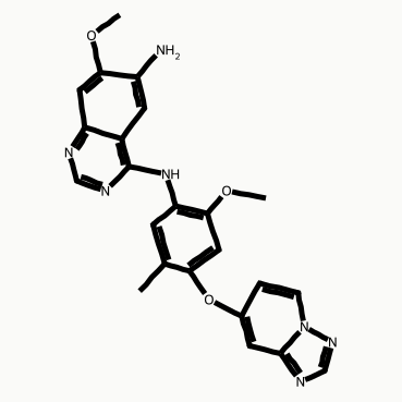 COc1cc2ncnc(Nc3cc(C)c(Oc4ccn5ncnc5c4)cc3OC)c2cc1N